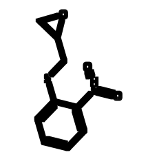 O=[SH](=O)c1ccccc1SCC1CO1